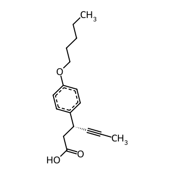 CC#C[C@H](CC(=O)O)c1ccc(OCCCCC)cc1